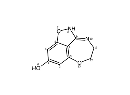 Oc1cc2c3c(c1)ONC3=NCCO2